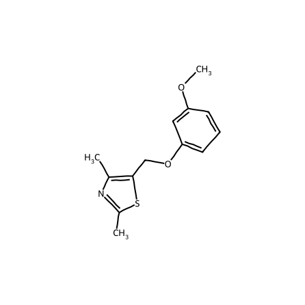 COc1cccc(OCc2sc(C)nc2C)c1